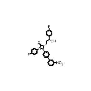 O=C1[C@H](CC[C@H](O)c2ccc(F)cc2)[C@@H](c2ccc(-c3cccc([N+](=O)[O-])c3)cc2)N1c1ccc(F)cc1